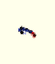 C[C@@H]1Cc2nn(C)c(-c3ccccc3)c2-c2nc(Nc3ccn(CCN4CCN(CC(=O)OC5CCOC5)CC4)n3)ncc21